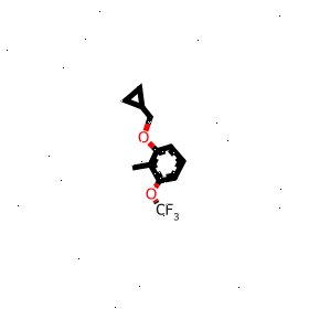 Cc1c(OCC2CC2)cccc1OC(F)(F)F